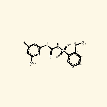 COc1cc(C)nc(NC(=O)NS(=O)(=O)c2ccccc2OC(F)(F)F)n1